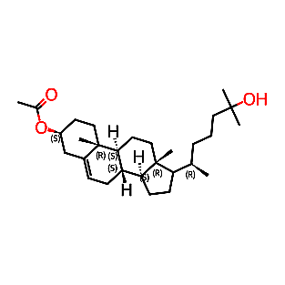 CC(=O)O[C@H]1CC[C@@]2(C)C(=CC[C@@H]3[C@@H]2CC[C@]2(C)C([C@H](C)CCCC(C)(C)O)CC[C@@H]32)C1